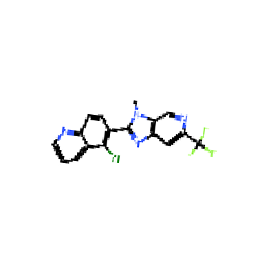 Cn1c(-c2ccc3ncccc3c2Cl)nc2cc(C(F)(F)F)ncc21